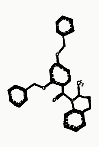 O=C(c1ccc(OCc2ccccc2)cc1OCc1ccccc1)N1c2ccccc2CCC1C(F)(F)F